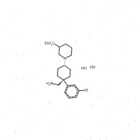 CCOC(=O)C1CCCN([C@H]2CC[C@@](CN)(c3cccc(Cl)c3)CC2)C1.Cl.Cl